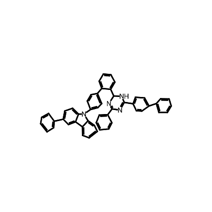 c1ccc(C2=NC(c3ccccc3-c3ccc(-n4c5ccccc5c5cc(-c6ccccc6)ccc54)cc3)NC(c3ccc(-c4ccccc4)cc3)=N2)cc1